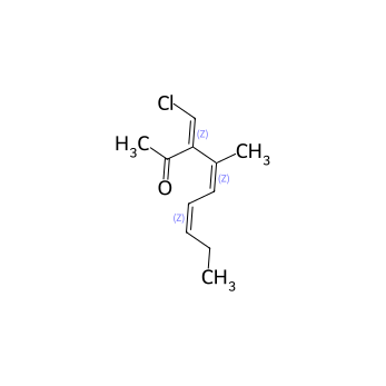 CC\C=C/C=C(C)\C(=C\Cl)C(C)=O